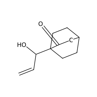 C=CC(O)C12CCC(CC1)CC2=O